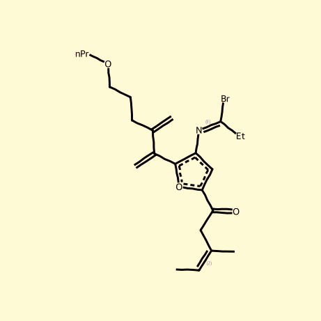 C=C(CCCOCCC)C(=C)c1oc(C(=O)C/C(C)=C\C)cc1/N=C(/Br)CC